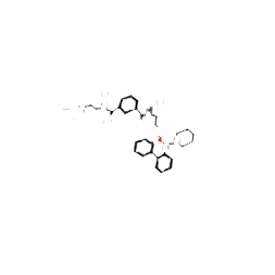 CN(CCOC(=O)N(c1ccccc1-c1ccccc1)N1CC[CH]CC1)C(=O)c1cccc(C(=O)NCCN)c1